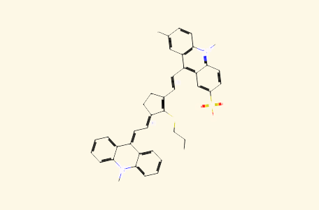 CN1c2ccccc2C(=C/C=C2\CCC(/C=C/c3c4cc(S(=O)(=O)[O-])ccc4[n+](C)c4ccc(S(=O)(=O)O)cc34)=C2SCCC(=O)O)c2ccccc21